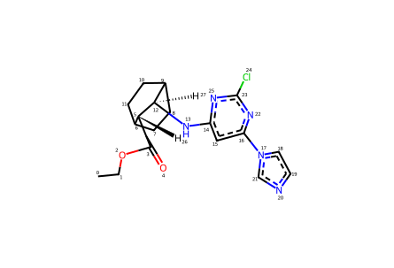 CCOC(=O)[C@@H]1C2CCC(CC2)[C@H]1Nc1cc(-n2ccnc2)nc(Cl)n1